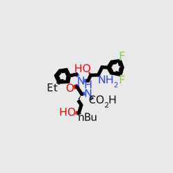 CCCCC(O)CC[C@@H](NC(=O)O)C(=O)N(Cc1cccc(CC)c1)C[C@@H](O)[C@@H](N)Cc1cc(F)cc(F)c1